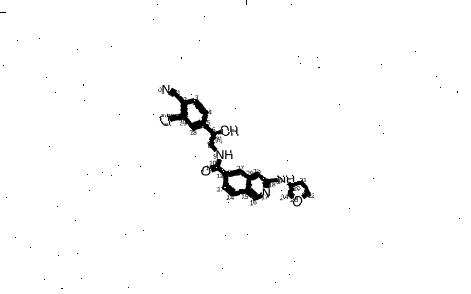 N#Cc1ccc([C@@H](O)CNC(=O)c2ccc3cnc(NC4CCOC4)cc3c2)cc1Cl